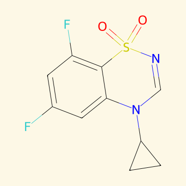 O=S1(=O)N=CN(C2CC2)c2cc(F)cc(F)c21